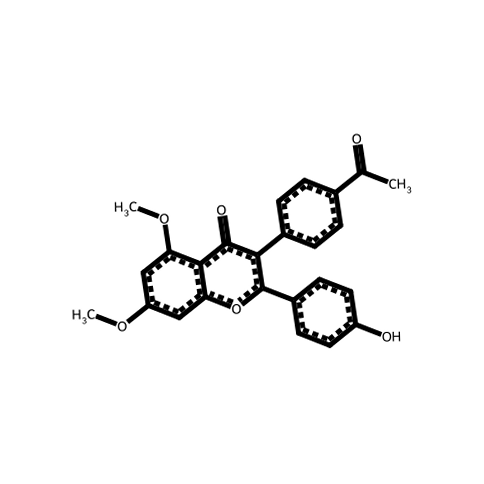 COc1cc(OC)c2c(=O)c(-c3ccc(C(C)=O)cc3)c(-c3ccc(O)cc3)oc2c1